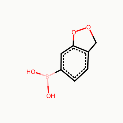 OB(O)c1ccc2c(c1)OOC2